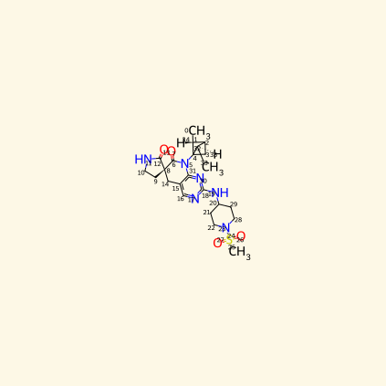 C[C@@H]1C2CC1(N1C(=O)[C@]3(CCNC3=O)Cc3cnc(NC4CCN(S(C)(=O)=O)CC4)nc31)[C@@H]2C